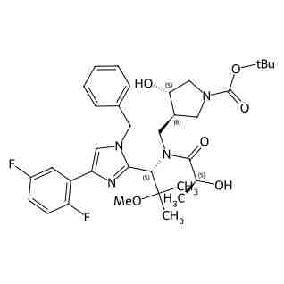 COC(C)(C)[C@H](c1nc(-c2cc(F)ccc2F)cn1Cc1ccccc1)N(C[C@@H]1CN(C(=O)OC(C)(C)C)C[C@H]1O)C(=O)[C@H](C)O